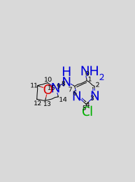 Nc1cnc(Cl)nc1NN1CC2CC(C1)O2